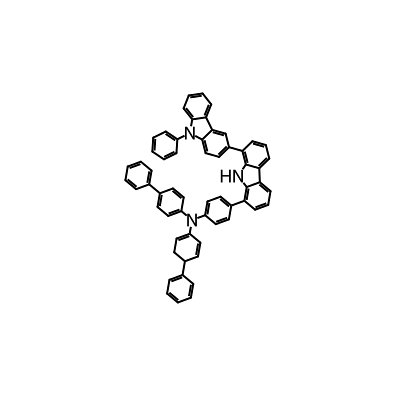 C1=CC(c2ccccc2)CC=C1N(c1ccc(-c2ccccc2)cc1)c1ccc(-c2cccc3c2[nH]c2c(-c4ccc5c(c4)c4ccccc4n5-c4ccccc4)cccc23)cc1